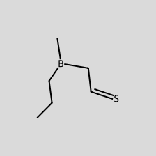 CCCB(C)CC=S